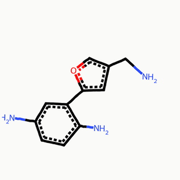 NCc1coc(-c2cc(N)ccc2N)c1